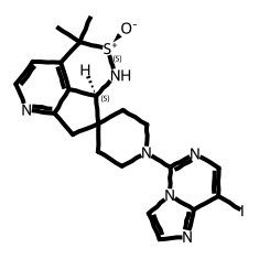 CC1(C)c2ccnc3c2[C@@H](N[S@+]1[O-])C1(CCN(c2ncc(I)c4nccn24)CC1)C3